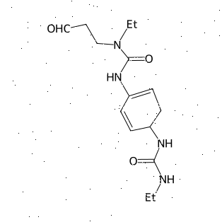 CCNC(=O)NC1C=CC(NC(=O)N(CC)CCC=O)=CC1